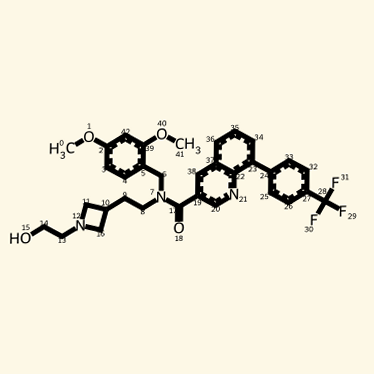 COc1ccc(CN(CCC2CN(CCO)C2)C(=O)c2cnc3c(-c4ccc(C(F)(F)F)cc4)cccc3c2)c(OC)c1